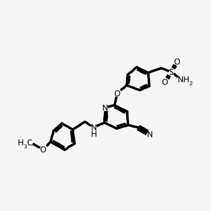 COc1ccc(CNc2cc(C#N)cc(Oc3ccc(CS(N)(=O)=O)cc3)n2)cc1